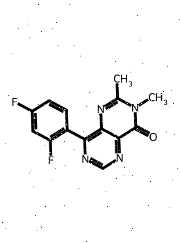 Cc1nc2c(-c3ccc(F)cc3F)ncnc2c(=O)n1C